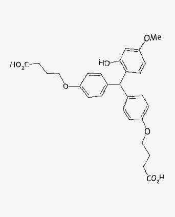 COc1ccc(C(c2ccc(OCCCC(=O)O)cc2)c2ccc(OCCCC(=O)O)cc2)c(O)c1